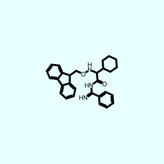 N=C(NC(=O)C(NOCC1c2ccccc2-c2ccccc21)C1CCCCC1)c1ccccc1